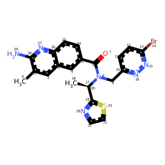 Cc1cc2cc(C(=O)N(Cc3ccc(Br)nn3)[C@H](C)c3nccs3)ccc2nc1N